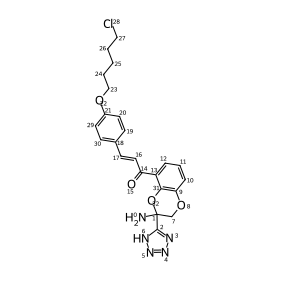 NC1(c2nnn[nH]2)COc2cccc(C(=O)C=Cc3ccc(OCCCCCCl)cc3)c2O1